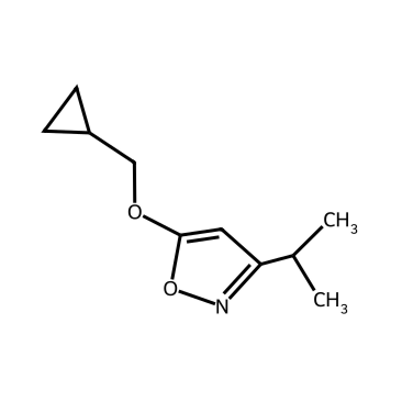 CC(C)c1cc(OCC2CC2)on1